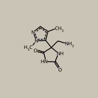 Cc1cnn(C)c1C1(CN)NC(=O)NC1=O